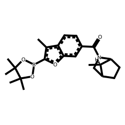 Cc1c(B2OC(C)(C)C(C)(C)O2)oc2cc(C(=O)N3CC4CCC3[C@@H]4C)ccc12